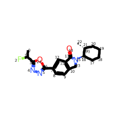 CC(F)c1nnc(-c2ccc3c(c2)C(=O)N([C@@H]2CCCC[C@H]2C)C3)o1